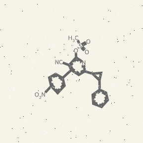 CS(=O)(=O)Oc1nc(C2CC2c2ccccc2)cc(-c2ccc([N+](=O)[O-])cc2)c1C#N